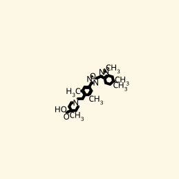 Cc1cc(-c2noc(-c3nn(C)c4c3CCC(C)(C)C4)n2)cc(C)c1CCN1CCC(C)(C(=O)O)CC1